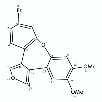 CCc1ccc2c(c1)Oc1cc(OC)c(OC)cc1-c1nocc1-2